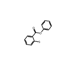 O=C(Oc1ccccc1)c1ccccc1[S]